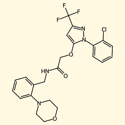 O=C(COc1cc(C(F)(F)F)nn1-c1ccccc1Cl)NCc1ccccc1N1CCOCC1